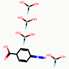 OB(O)F.OB(O)F.OB(O)F.OB(O)F.[N-]=[N+]=C1C=CC(C(=O)O)C=C1